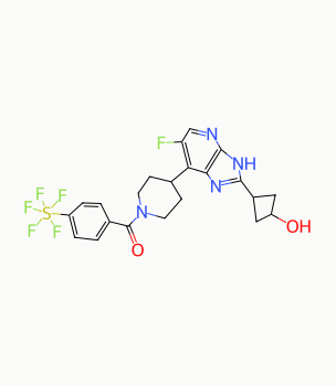 O=C(c1ccc(S(F)(F)(F)(F)F)cc1)N1CCC(c2c(F)cnc3[nH]c(C4CC(O)C4)nc23)CC1